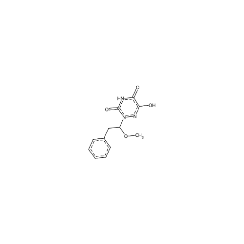 COC(Cc1ccccc1)n1nc(O)c(=O)[nH]c1=O